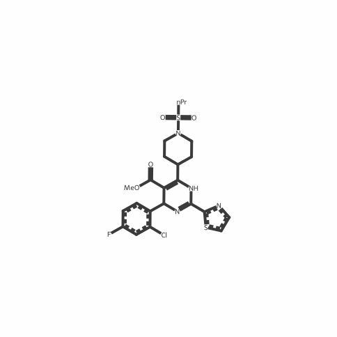 CCCS(=O)(=O)N1CCC(C2=C(C(=O)OC)C(c3ccc(F)cc3Cl)N=C(c3nccs3)N2)CC1